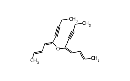 CC=CC=C(C#CCC)OC(C#CCC)=CC=CC